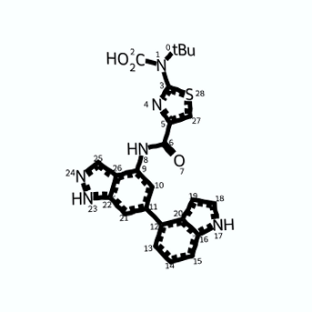 CC(C)(C)N(C(=O)O)c1nc(C(=O)Nc2cc(-c3cccc4[nH]ccc34)cc3[nH]ncc23)cs1